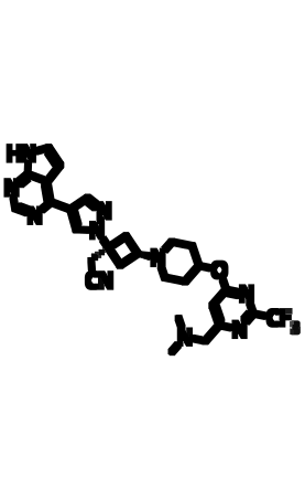 CN(C)Cc1cc(OC2CCN([C@H]3C[C@@](CC#N)(n4cc(-c5ncnc6[nH]ccc56)cn4)C3)CC2)nc(C(F)(F)F)n1